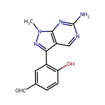 Cn1nc(-c2cc(C=O)ccc2O)c2cnc(N)nc21